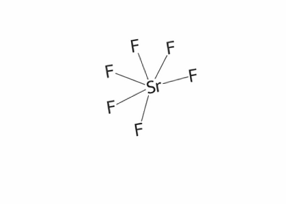 [F][Sr]([F])([F])([F])([F])[F]